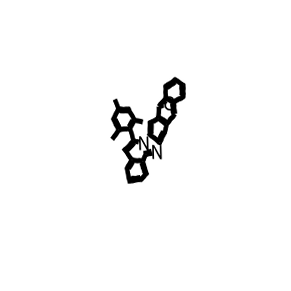 Cc1cc(C)c(-c2cc3ccccc3c3nc4cc5c(cc4n23)c2oc5c3ccccc32)c(C)c1